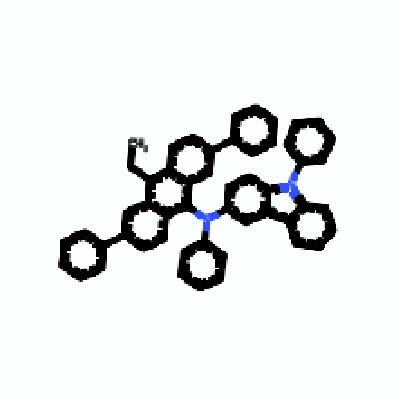 CCc1c2cc(-c3ccccc3)ccc2c(N(c2ccccc2)c2ccc3c(c2)c2ccccc2n3-c2ccccc2)c2cc(-c3ccccc3)ccc12